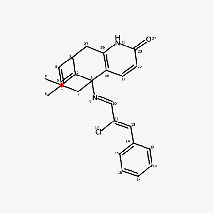 C/C=C1\C2C=C(C)CC1(/N=C/C(Cl)=C/c1ccccc1)c1ccc(=O)[nH]c1C2